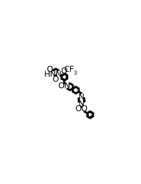 O=C1CCN(c2cc(C(=O)N3CCC4(CCC(CN5CCN(C(=O)OCc6ccccc6)CC5)CC4)CC3)ccc2OC(F)(F)F)C(=O)N1